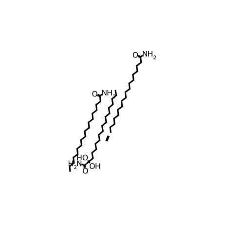 C=C.CCCCCCCCCCCCCCCCC(O)(O)C(N)=O.CCCCCCCCCCCCCCCCCC(N)=O.CCCCCCCCCCCCCCCCCC(N)=O